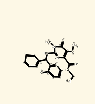 CCOC(=O)c1nc(NC(c2ccccc2)c2ncccc2Cl)n(C)c(=O)c1OC